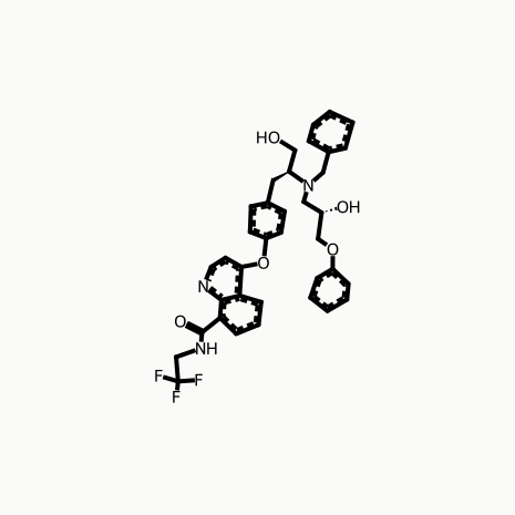 O=C(NCC(F)(F)F)c1cccc2c(Oc3ccc(C[C@@H](CO)N(Cc4ccccc4)C[C@H](O)COc4ccccc4)cc3)ccnc12